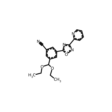 CCOC(OCC)c1cc(C#N)cc(-c2nc(-c3ccccn3)no2)c1